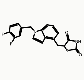 O=C1NC(=O)C(Cc2cccc3c2ccn3Cc2ccc(F)c(F)c2)S1